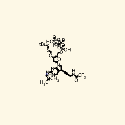 CN(C)/C=N\C1=Nc2c(c(C#CCNC(=O)C(F)(F)F)cn2[C@H]2CC(OCSSC(C)(C)C)[C@@H](COP(=O)(O)OP(=O)(O)OP(=O)(O)O)O2)CN1